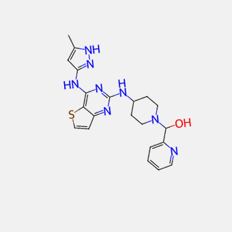 Cc1cc(Nc2nc(NC3CCN(C(O)c4ccccn4)CC3)nc3ccsc23)n[nH]1